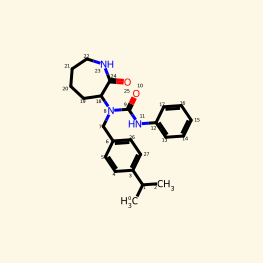 CC(C)c1ccc(CN(C(=O)Nc2ccccc2)C2CCCCNC2=O)cc1